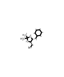 CC1(C)O[C@H](CBr)[C@@H](CC2CCCCC2)O1